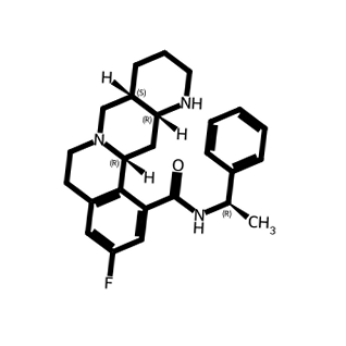 C[C@@H](NC(=O)c1cc(F)cc2c1[C@H]1C[C@H]3NCCC[C@H]3CN1CC2)c1ccccc1